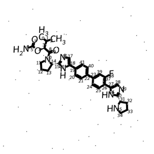 CC(C)[C@H](OC(N)=O)C(=O)N1CCC[C@H]1c1ncc(-c2ccc(-c3ccc(-c4cnc([C@@H]5CCCN5)[nH]4)c(F)c3)cc2)[nH]1